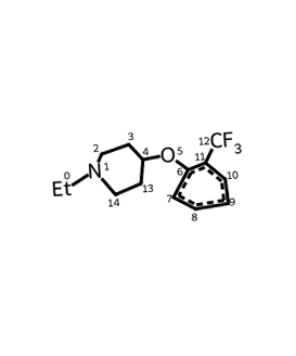 [CH2]CN1CCC(Oc2ccccc2C(F)(F)F)CC1